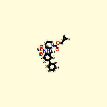 CS(=O)(=O)N[C@@H]1CCCN(C(=O)OCC2CC2)[C@@H]1Cc1cccc(-c2ccccc2)c1